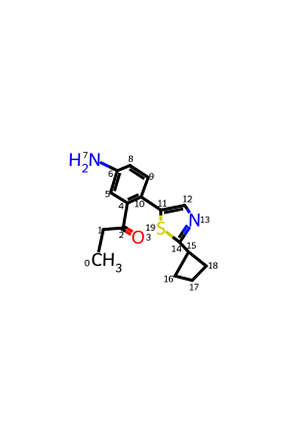 CCC(=O)c1cc(N)ccc1-c1cnc(C2CCC2)s1